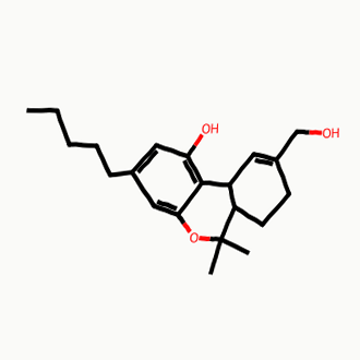 CCCCCc1cc(O)c2c(c1)OC(C)(C)C1CCC(CO)=CC21